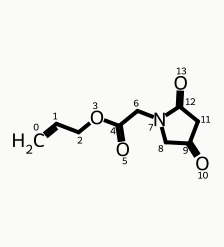 C=CCOC(=O)CN1CC(=O)CC1=O